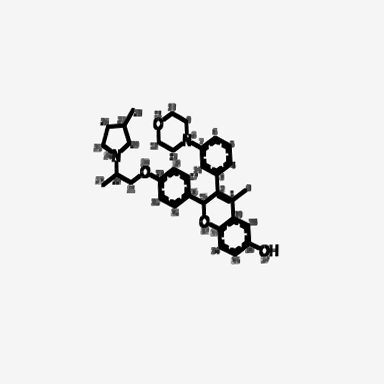 CC1=C(c2cccc(N3CCOCC3)c2)C(c2ccc(OCC(C)N3CCC(C)C3)cc2)Oc2ccc(O)cc21